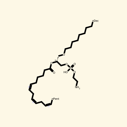 CCCCC/C=C\C/C=C\C/C=C\CCCCC(=O)O[C@H](COCCCCCCCCCCCCCCCCCC)COP(=O)(O)OCCN